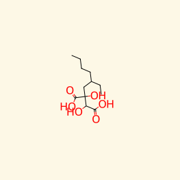 CCCCC(CC)CC(O)(C(=O)O)C(O)C(=O)O